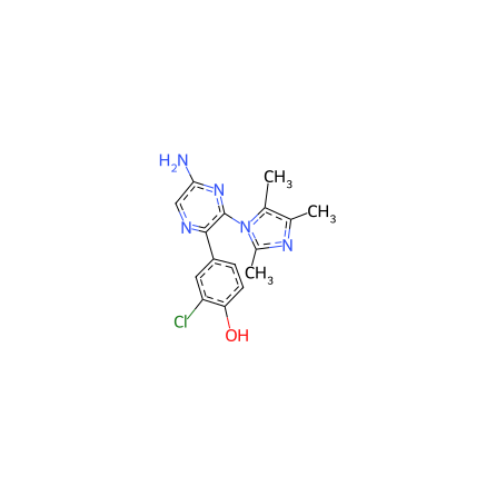 Cc1nc(C)n(-c2nc(N)cnc2-c2ccc(O)c(Cl)c2)c1C